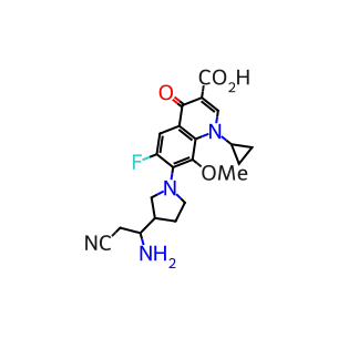 COc1c(N2CCC(C(N)CC#N)C2)c(F)cc2c(=O)c(C(=O)O)cn(C3CC3)c12